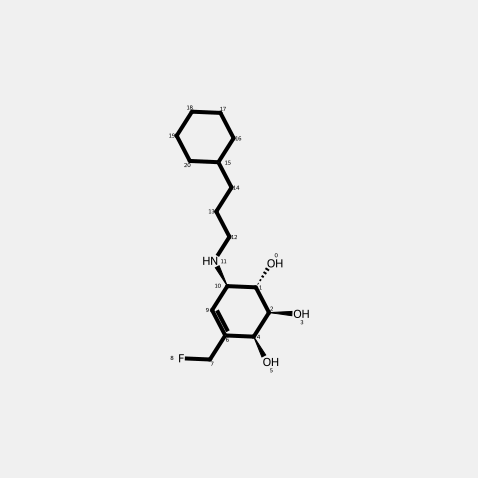 O[C@@H]1[C@@H](O)[C@@H](O)C(CF)=C[C@H]1NCCCC1CCCCC1